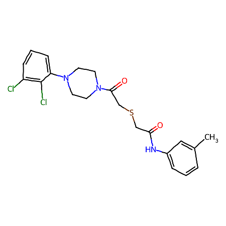 Cc1cccc(NC(=O)CSCC(=O)N2CCN(c3cccc(Cl)c3Cl)CC2)c1